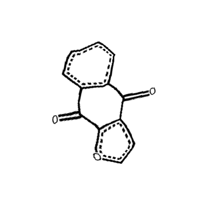 O=C1c2ccccc2C(=O)c2occc21